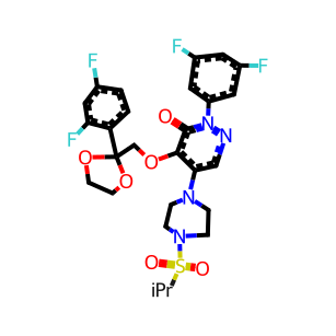 CC(C)S(=O)(=O)N1CCN(c2cnn(-c3cc(F)cc(F)c3)c(=O)c2OCC2(c3ccc(F)cc3F)OCCO2)CC1